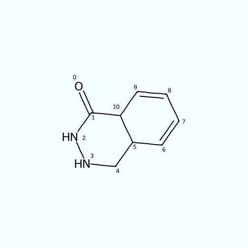 O=C1NNCC2C=CC=CC12